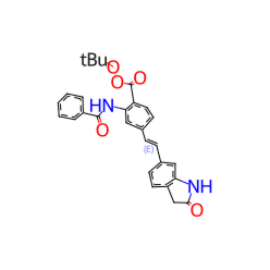 CC(C)(C)OOC(=O)c1ccc(/C=C/c2ccc3c(c2)NC(=O)C3)cc1NC(=O)c1ccccc1